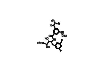 CCCCC[C@H](O)[C@H](O)[C@H](Cc1cc(F)cc(F)c1)NC(=O)c1cc(NC=O)cc(C(=O)N(CCC)CCC)c1